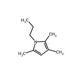 CCCn1c(C)cc(C)c1C